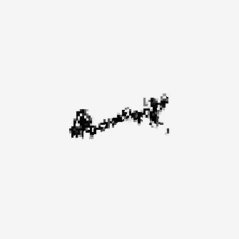 Cn1nc(N2CCC(=O)NC2=O)c2ccc([C@H]3CCN(CC(=O)N4CC5(C4)CN(c4ccc(-c6cc(F)c7c(c6)C(=O)N(C(C(=O)Nc6nccs6)c6ncn8c6CCC8)C7)cc4)C5)C[C@H]3F)cc21